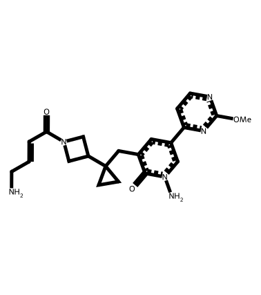 COc1nccc(-c2cc(CC3(C4CN(C(=O)C=CCN)C4)CC3)c(=O)n(N)c2)n1